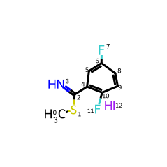 CSC(=N)c1cc(F)ccc1F.I